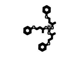 CC(CCOc1ccccc1)O[SiH](OC(C)CCOc1ccccc1)OC(C)CCOc1ccccc1